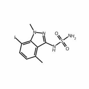 Cc1ccc(I)c2c1c(NS(N)(=O)=O)nn2C